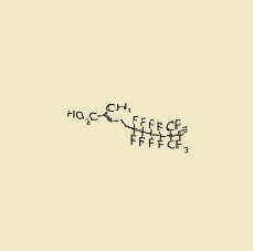 C/C(=C\CCC(F)(F)C(F)(F)C(F)(F)C(F)(F)C(F)(C(F)(F)F)C(F)(F)F)C(=O)O